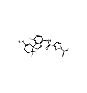 NC1=N[C@](CF)(c2cc(NC(=O)c3ccn(C(F)F)n3)ccc2F)C(F)(F)CC1